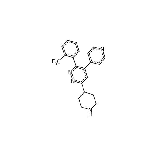 FC(F)(F)c1ccccc1-c1nnc(C2CCNCC2)cc1-c1ccncc1